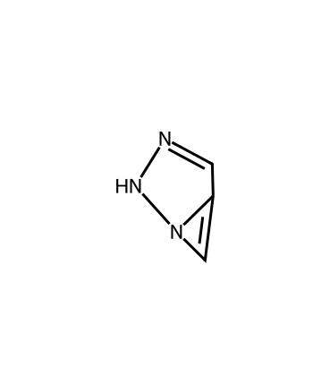 C1=NNN2C=C12